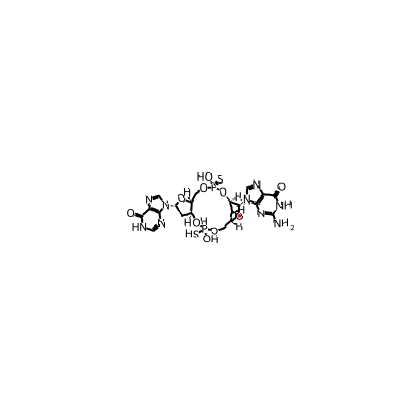 Nc1nc2c(ncn2[C@@H]2O[C@@H]3CO[PH](O)(S)O[C@H]4C[C@H](n5cnc6c(=O)[nH]cnc65)O[C@@H]4COP(O)(=S)O[C@@H]2[C@@H]3F)c(=O)[nH]1